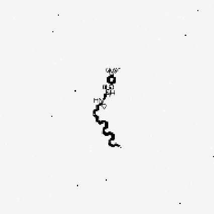 CC/C=C\C/C=C\C/C=C\C/C=C\C/C=C\C/C=C\CCC(=O)NCCN[PH](=O)Oc1ccc([N+](=O)[O-])cc1